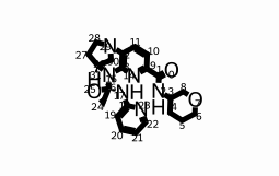 O=C(NC1CCCOC1)c1ccc2c(n1)N([C@@]1(Nc3ccccn3)CO1)[C@H]1CCN2C1